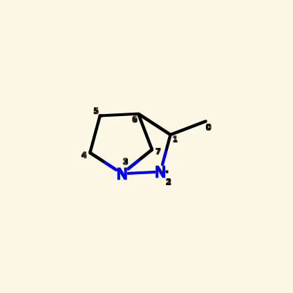 CC1[N]N2CCC1C2